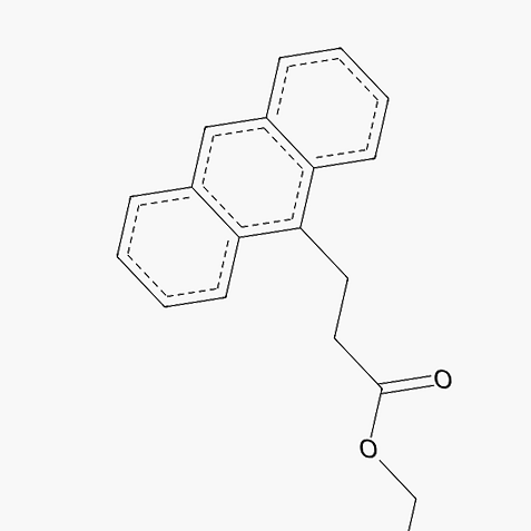 CCOC(=O)CCc1c2ccccc2cc2ccccc12